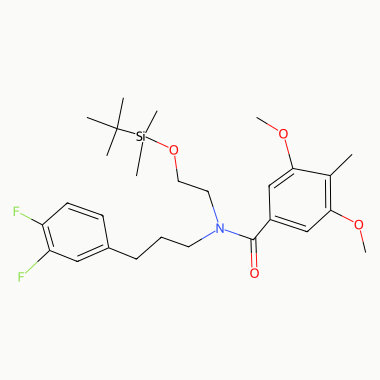 COc1cc(C(=O)N(CCCc2ccc(F)c(F)c2)CCO[Si](C)(C)C(C)(C)C)cc(OC)c1C